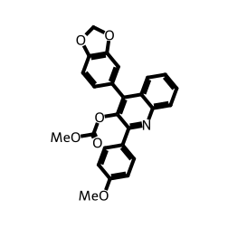 COC(=O)Oc1c(-c2ccc(OC)cc2)nc2ccccc2c1-c1ccc2c(c1)OCO2